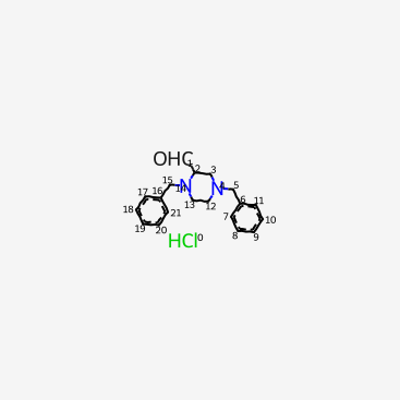 Cl.O=CC1CN(Cc2ccccc2)CCN1Cc1ccccc1